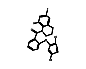 O=C(c1ccccc1Oc1cc(Cl)ccc1Cl)N1CCCc2cc(F)cc(F)c21